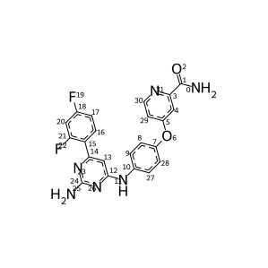 NC(=O)c1cc(Oc2ccc(Nc3cc(-c4ccc(F)cc4F)nc(N)n3)cc2)ccn1